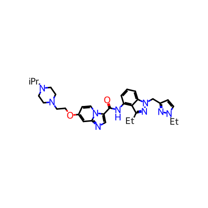 CCc1nn(Cc2ccn(CC)n2)c2cccc(NC(=O)c3cnc4cc(OCCN5CCN(C(C)C)CC5)ccn34)c12